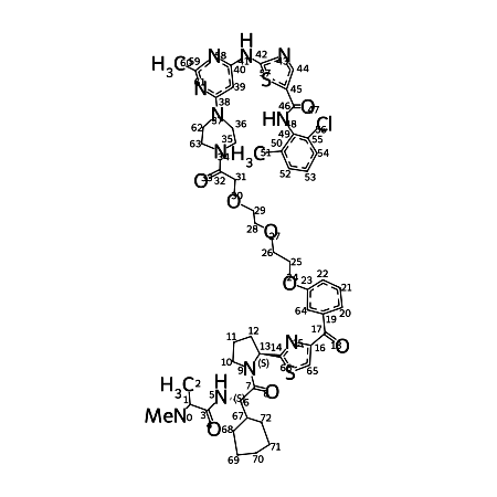 CNC(C)C(=O)N[C@H](C(=O)N1CCC[C@H]1c1nc(C(=O)c2cccc(OCCOCCOCC(=O)N3CCN(c4cc(Nc5ncc(C(=O)Nc6c(C)cccc6Cl)s5)nc(C)n4)CC3)c2)cs1)C1CCCCC1